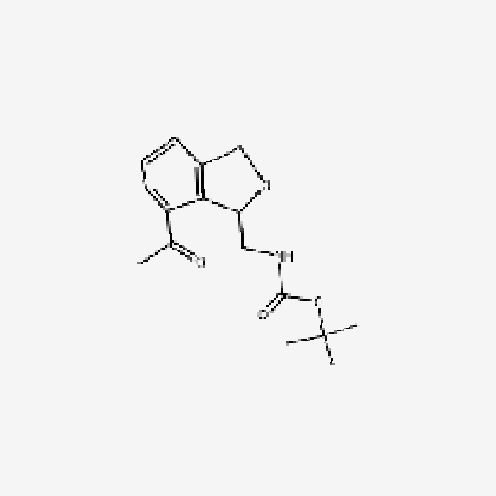 CC(=O)c1cccc2c1C(CNC(=O)OC(C)(C)C)OC2